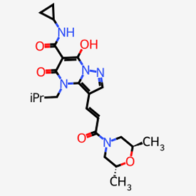 CC(C)Cn1c(=O)c(C(=O)NC2CC2)c(O)n2ncc(/C=C/C(=O)N3C[C@@H](C)O[C@H](C)C3)c12